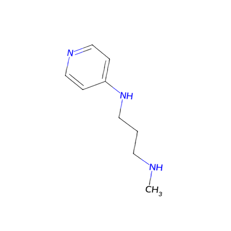 CNCCCNc1ccncc1